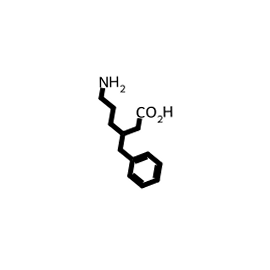 NCCCC(CC(=O)O)Cc1ccccc1